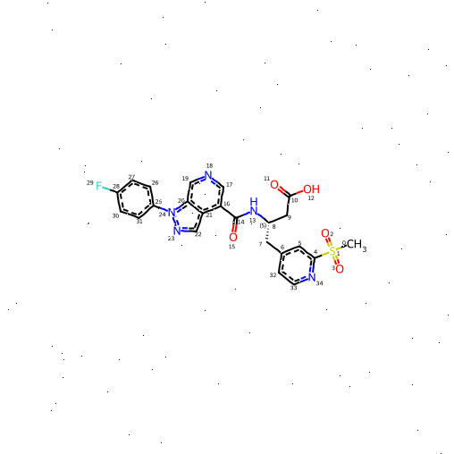 CS(=O)(=O)c1cc(C[C@@H](CC(=O)O)NC(=O)c2cncc3c2cnn3-c2ccc(F)cc2)ccn1